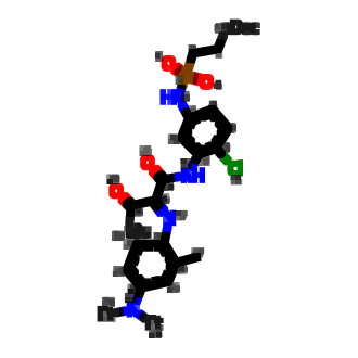 CCCCCCCCCCCCS(=O)(=O)Nc1ccc(Cl)c(NC(=O)C(=Nc2ccc(N(CC)CC)cc2C)C(=O)C(C)(C)C)c1